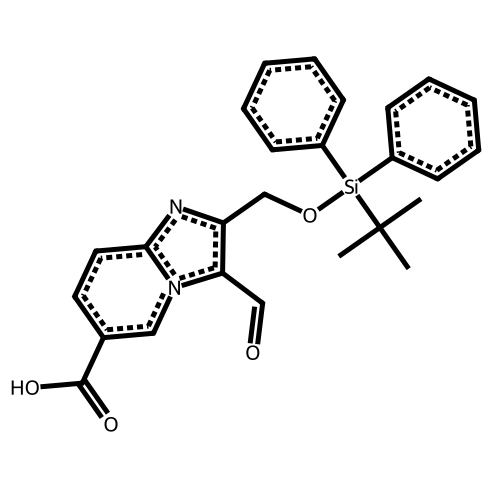 CC(C)(C)[Si](OCc1nc2ccc(C(=O)O)cn2c1C=O)(c1ccccc1)c1ccccc1